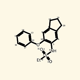 CCS(=O)(=O)Nc1cc2c(cc1Oc1ccccc1)CCC2